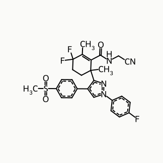 CC1=C(C(=O)NCC#N)C(C)(c2nn(-c3ccc(F)cc3)cc2-c2ccc(S(C)(=O)=O)cc2)CCC1(F)F